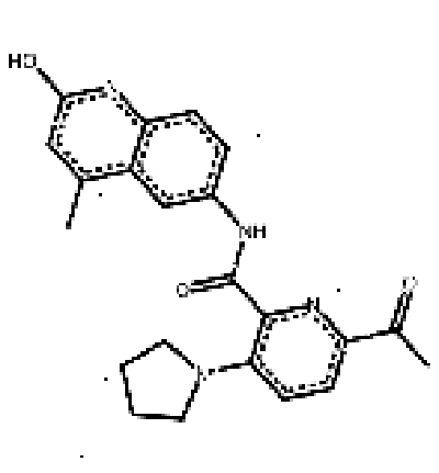 CC(=O)c1ccc(N2CCCC2)c(C(=O)Nc2ccc3nc(O)cc(C)c3c2)n1